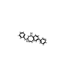 c1ccc(CC2CNc3ccc(-c4cccnc4)cc3CN2)cc1